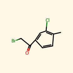 Cc1ccc(C(=O)CBr)cc1Cl